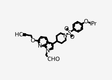 C#CCOc1ccc2c(C3CCN(S(=O)(=O)c4ccc(OC(C)C)cc4)CC3)cn(CC=O)c2n1